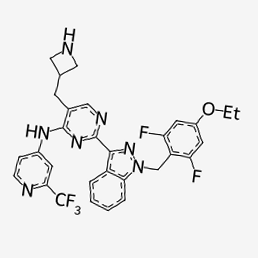 CCOc1cc(F)c(Cn2nc(-c3ncc(CC4CNC4)c(Nc4ccnc(C(F)(F)F)c4)n3)c3ccccc32)c(F)c1